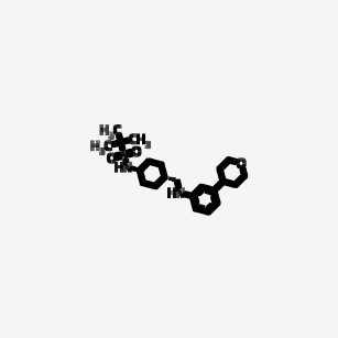 CC(C)(C)S(=O)(=O)N[C@H]1CC[C@H](CNc2cccc(C3CCOCC3)c2)CC1